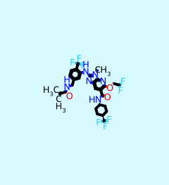 CC(C)C(=O)NCc1ccc(C(F)(F)F)c(Nc2nc3cc(C(=O)N[C@H]4CC[C@H](C(F)(F)F)CC4)c(OCC(F)F)nc3n2C)c1